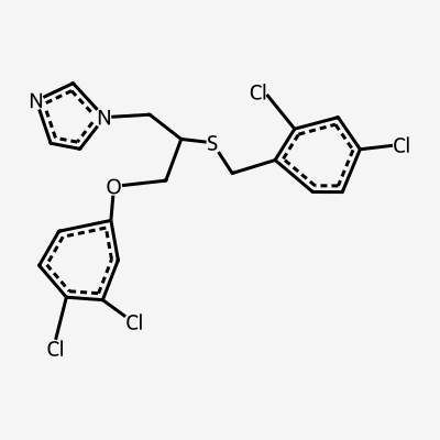 Clc1ccc(CSC(COc2ccc(Cl)c(Cl)c2)Cn2ccnc2)c(Cl)c1